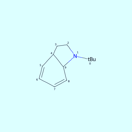 CC(C)(C)N1CCC2C=CC=CC21